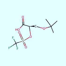 CC(C)(C)OC[C@@H](OS(=O)(=O)C(F)(F)F)C(=O)O